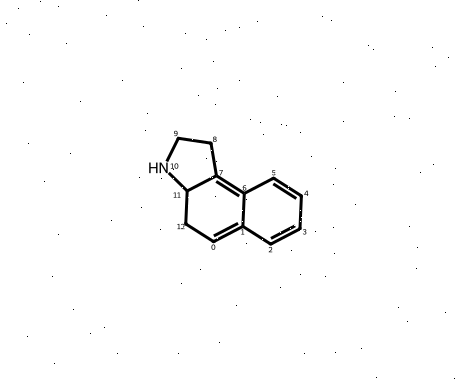 C1=c2ccccc2=C2CCNC2C1